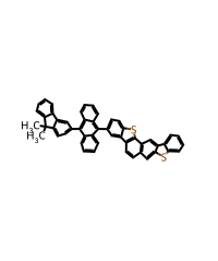 CC1(C)c2ccccc2-c2cc(-c3c4ccccc4c(-c4ccc5sc6c7cc8c(cc7ccc6c5c4)sc4ccccc48)c4ccccc34)ccc21